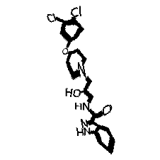 O=C(NC[C@@H](O)CN1CCC(Oc2ccc(Cl)c(Cl)c2)CC1)c1n[nH]c2ccccc12